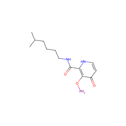 CC(C)CCCCNC(=O)c1[nH]ccc(=O)c1OP